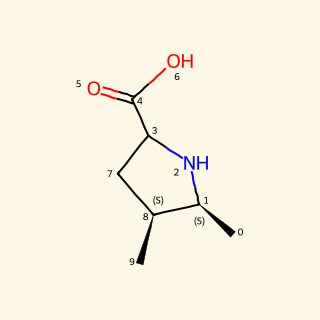 C[C@@H]1NC(C(=O)O)C[C@@H]1C